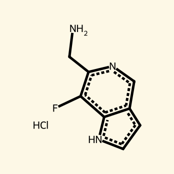 Cl.NCc1ncc2cc[nH]c2c1F